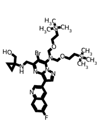 C[Si](C)(C)CCOCN(COCC[Si](C)(C)C)c1c(Br)c(CNC2(CO)CC2)nc2c(-c3cnc4ccc(F)cc4c3)cnn12